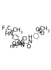 CCCc1nc(C(=O)NC[C@H]2CC[C@@H](S(C)(=O)=O)CC2)c(Cl)n1-c1ccc(N[C@H](C)C(F)(F)F)cc1OC